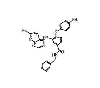 CC(C)c1ccc2c(Nc3cc(C(=O)NCc4ccccc4)ccc3Sc3ccc(N)cc3)ncnc2n1